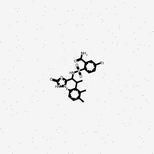 CCc1ccc(S(=O)(=O)NC(c2n[nH]c(=O)o2)C(C)c2c(F)ccc(C)c2C)c(C(N)=O)c1